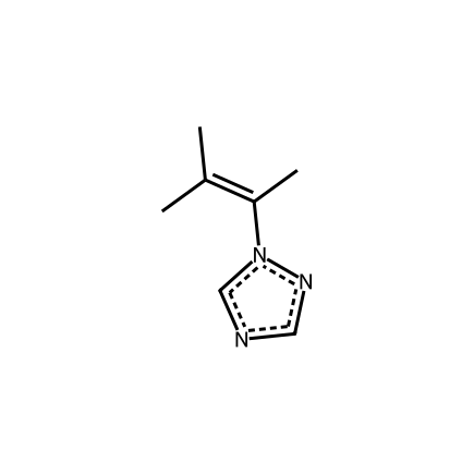 CC(C)=C(C)n1cncn1